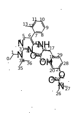 CCN(c1ncc(-c2ccccc2C)c(N[C@@H](Cc2ccc(OC(=O)N(C)C)cc2)C(=O)O)n1)C(C)C